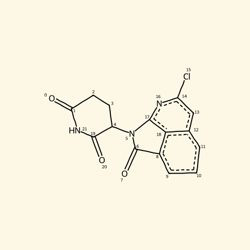 O=C1CCC(N2C(=O)c3cccc4cc(Cl)nc2c34)C(=O)N1